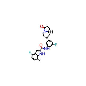 Cc1ccc(F)c2cc(C(=O)Nc3cc(F)cc([C@@H]4CCN5C(=O)CC[C@H]5C4)c3)[nH]c12